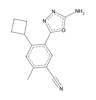 Cc1cc(C2CCC2)c(-c2nnc(N)o2)cc1C#N